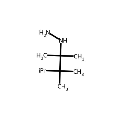 CC(C)C(C)(C)C(C)(C)NN